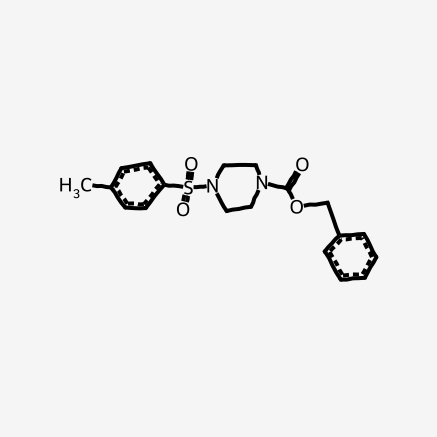 Cc1ccc(S(=O)(=O)N2CCN(C(=O)OCc3ccccc3)CC2)cc1